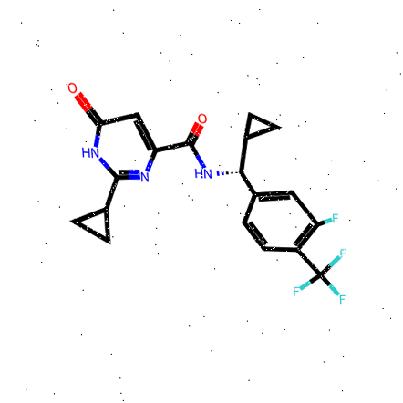 O=C(N[C@@H](c1ccc(C(F)(F)F)c(F)c1)C1CC1)c1cc(=O)[nH]c(C2CC2)n1